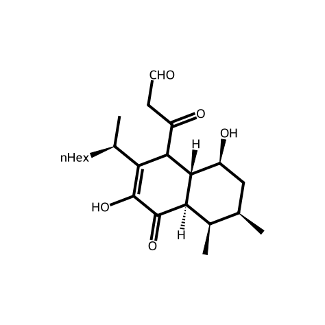 CCCCCC[C@@H](C)C1=C(O)C(=O)[C@@H]2[C@H](C)[C@H](C)C[C@H](O)[C@H]2C1C(=O)CC=O